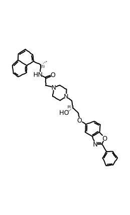 C[C@H](NC(=O)CN1CCN(C[C@@H](O)COc2ccc3oc(-c4ccccc4)nc3c2)CC1)c1cccc2ccccc12